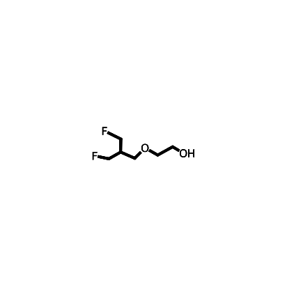 OCCOCC(CF)CF